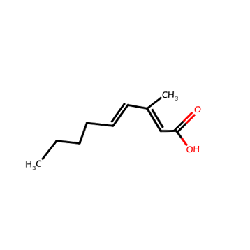 CCCCC=CC(C)=CC(=O)O